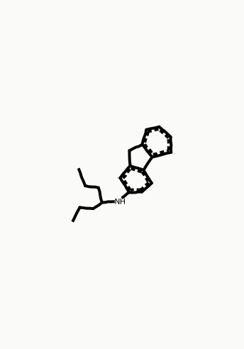 CCCC(CCC)Nc1[c]c2c(cc1)-c1ccccc1C2